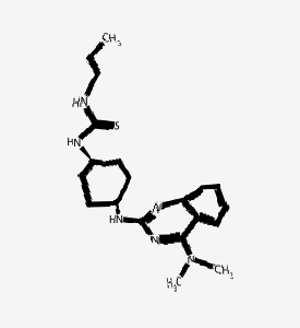 CCCNC(=S)N[C@H]1CC[C@@H](Nc2nc(N(C)C)c3ccccc3n2)CC1